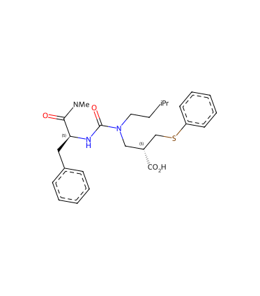 CNC(=O)[C@H](Cc1ccccc1)NC(=O)N(CCC(C)C)C[C@H](CSc1ccccc1)C(=O)O